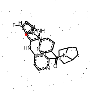 Cc1cc(Nc2ccnc(N3CC4CCC(C3)N4C(=O)c3ccc(-n4cc(F)cn4)nc3)n2)n[nH]1